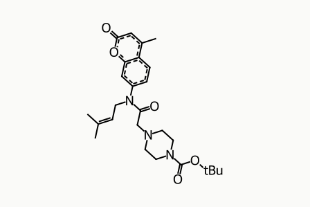 CC(C)=CCN(C(=O)CN1CCN(C(=O)OC(C)(C)C)CC1)c1ccc2c(C)cc(=O)oc2c1